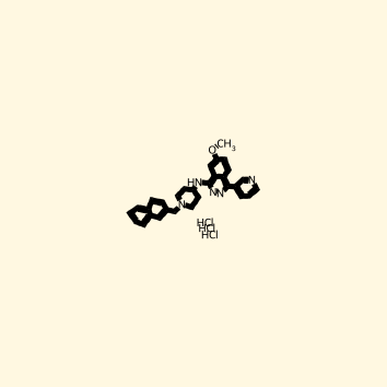 COc1ccc2c(-c3cccnc3)nnc(NC3CCN(Cc4ccc5ccccc5c4)CC3)c2c1.Cl.Cl.Cl